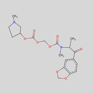 CC(C(=O)c1ccc2c(c1)OCO2)N(C)C(=O)OCOC(=O)OC1CCN(C)C1